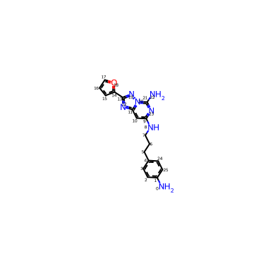 Nc1ccc(CCCNc2cc3nc(-c4ccco4)nn3c(N)n2)cc1